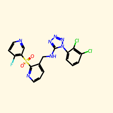 O=S(=O)(c1cnccc1F)c1ncccc1CNc1nnnn1-c1cccc(Cl)c1Cl